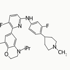 CC(C)N1CCOc2c(F)cc(-c3nc(Nc4ccc(C5CCN(C)CC5)c(F)c4)ccc3F)cc21